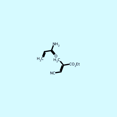 C=CC(N)=O.CCOC(=O)C(C)=CC#N